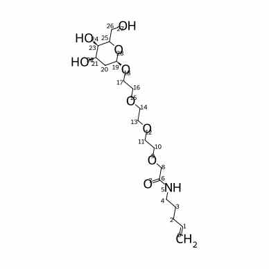 C=CCCCNC(=O)COCCOCCOCCO[C@H]1C[C@@H](O)[C@@H](O)C(CO)O1